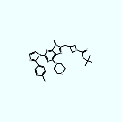 Cc1ccc(-c2nccn2-c2nc(N3CCOCC3)c3nc(CC4CN(C(=O)OC(C)(C)C)C4)n(C)c3n2)cc1